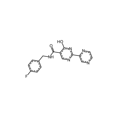 O=C(NCc1ccc(F)cc1)c1cnc(-c2cnccn2)nc1O